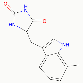 Cc1cccc2c(CC3NC(=O)NC3=O)c[nH]c12